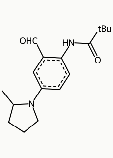 CC1CCCN1c1ccc(NC(=O)C(C)(C)C)c(C=O)c1